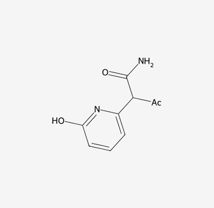 CC(=O)C(C(N)=O)c1cccc(O)n1